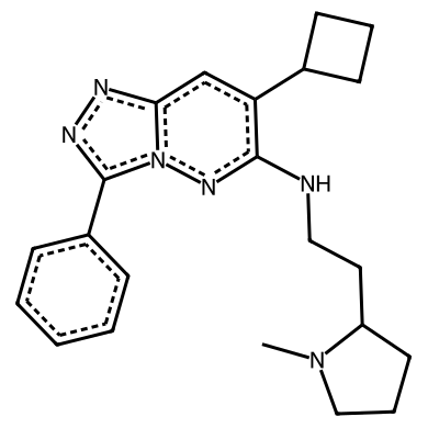 CN1CCCC1CCNc1nn2c(-c3ccccc3)nnc2cc1C1CCC1